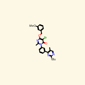 COc1cccc(COc2nc(C)n(-c3cccc(-c4nc(C(C)(C)C)ncc4C)c3)c(=O)c2Br)c1